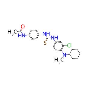 CC(=O)Nc1ccc(NC(=S)Nc2ccc(N(C)C3CCCCC3)c(Cl)c2)cc1